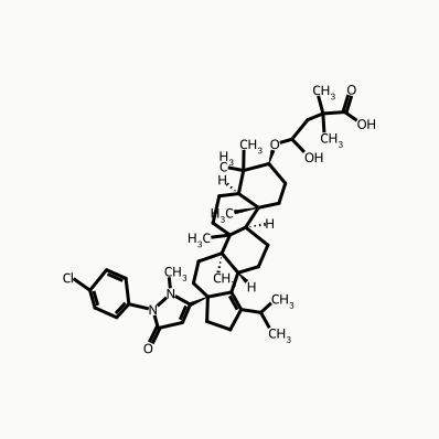 CC(C)C1=C2[C@H]3CC[C@H]4C(C)(CC[C@H]5C(C)(C)[C@@H](OC(O)CC(C)(C)C(=O)O)CC[C@@]54C)[C@]3(C)CC[C@@]2(c2cc(=O)n(-c3ccc(Cl)cc3)n2C)CC1